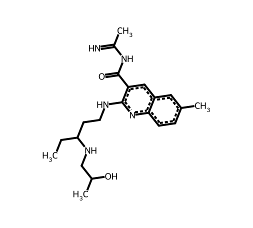 CCC(CCNc1nc2ccc(C)cc2cc1C(=O)NC(C)=N)NCC(C)O